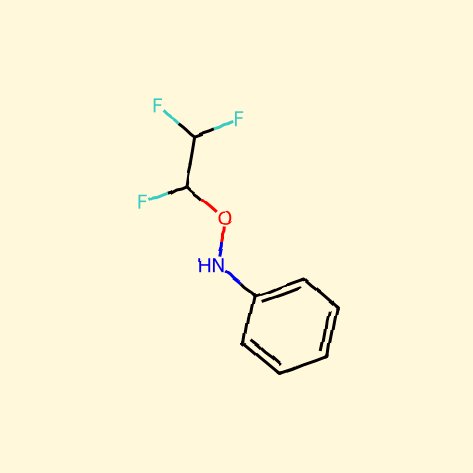 FC(F)C(F)ONc1ccccc1